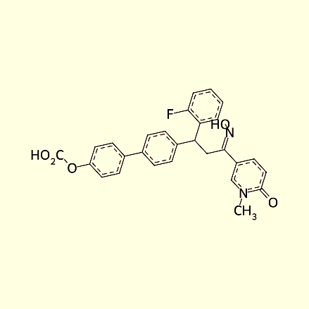 Cn1cc(/C(CC(c2ccc(-c3ccc(OC(=O)O)cc3)cc2)c2ccccc2F)=N/O)ccc1=O